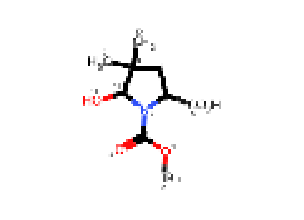 CC(C)(C)OC(=O)N1C(C(=O)O)CC(C)(C)C1O